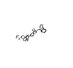 O=C1c2cc(-c3noc(C(F)(F)F)n3)ccc2CN1Cc1ccccc1Cl